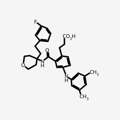 Cc1cc(C)cc(Nc2ccc(CCC(=O)O)c(C(=O)NC3(CCc4cccc(F)c4)CCOCC3)c2)c1